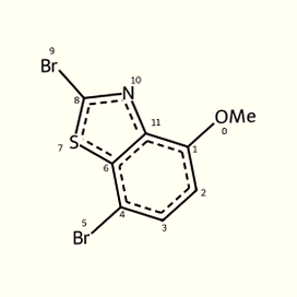 COc1ccc(Br)c2sc(Br)nc12